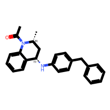 CC(=O)N1c2ccccc2[C@@H](Nc2ccc(Cc3ccccc3)cc2)C[C@H]1C